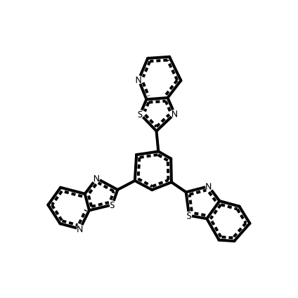 c1ccc2sc(-c3cc(-c4nc5cccnc5s4)cc(-c4nc5cccnc5s4)c3)nc2c1